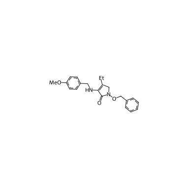 CCC1=C(NCc2ccc(OC)cc2)C(=O)N(OCc2ccccc2)C1